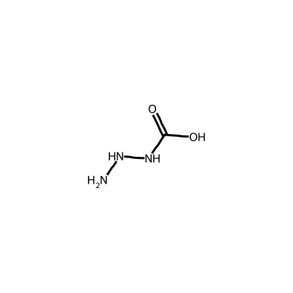 NNNC(=O)O